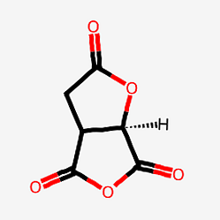 O=C1CC2C(=O)OC(=O)[C@@H]2O1